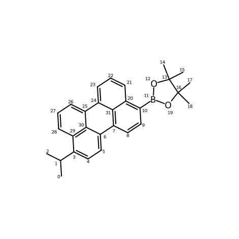 CC(C)c1ccc2c3ccc(B4OC(C)(C)C(C)(C)O4)c4cccc(c5cccc1c52)c43